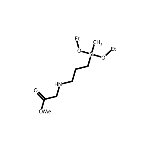 CCO[Si](C)(CCCNCC(=O)OC)OCC